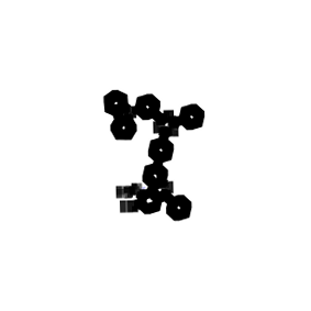 N=C1C=Cc2c(-c3ccccc3)nc3cc(-c4ccc(-c5nc(-c6ccccc6)nc(-c6cccc(-n7c8ccccc8c8ccccc87)c6)n5)cc4)ccc3c2/C1=N/S